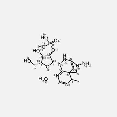 CC1N=CN=C2N([C@@H]3O[C@H](CO)[C@@H](O)[C@H]3OP(=O)(O)O)NC3=CC21CN3N.O